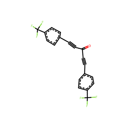 O=C(C#Cc1ccc(C(F)(F)F)cc1)C#Cc1ccc(C(F)(F)F)cc1